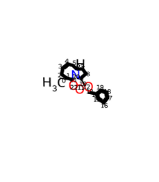 C[C@H]1C/C=C\C[C@H]2CC[C@@H](C(=O)OCc3ccccc3)N2C1=O